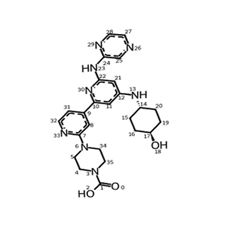 O=C(O)N1CCN(c2cc(-c3cc(N[C@H]4CC[C@H](O)CC4)cc(Nc4cnccn4)n3)ccn2)CC1